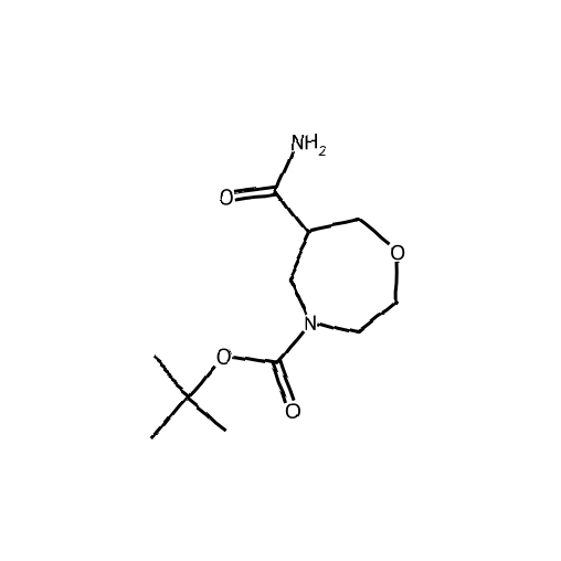 CC(C)(C)OC(=O)N1CCOCC(C(N)=O)C1